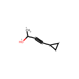 CC(O)C#CC1CC1